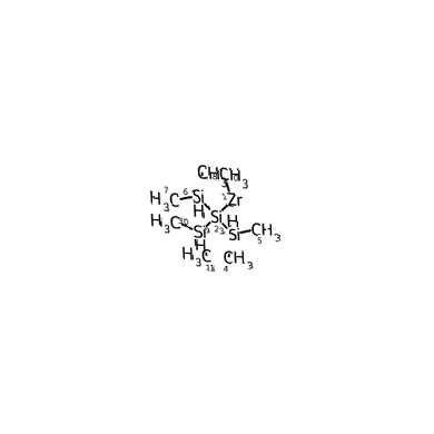 [CH3][Zr][Si]([SiH](C)C)([SiH](C)C)[SiH](C)C